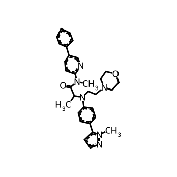 CC(C(=O)N(C)c1ccc(-c2ccccc2)cn1)N(CCN1CCOCC1)c1ccc(-c2ccnn2C)cc1